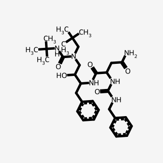 CC(C)(C)CN(CC(O)C(Cc1ccccc1)NC(=O)C(CC(N)=O)NC(=O)NCc1ccccc1)C(=O)NC(C)(C)C